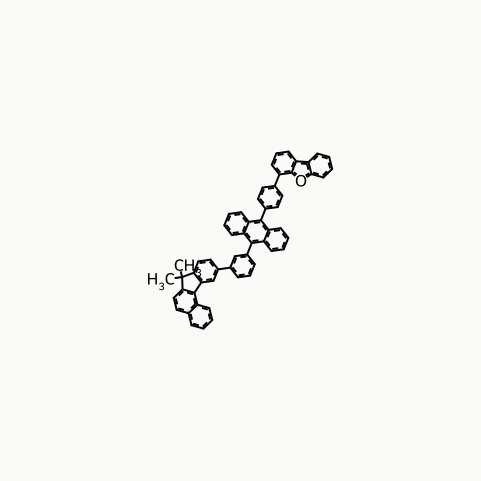 CC1(C)c2ccc(-c3cccc(-c4c5ccccc5c(-c5ccc(-c6cccc7c6oc6ccccc67)cc5)c5ccccc45)c3)cc2-c2c1ccc1ccccc21